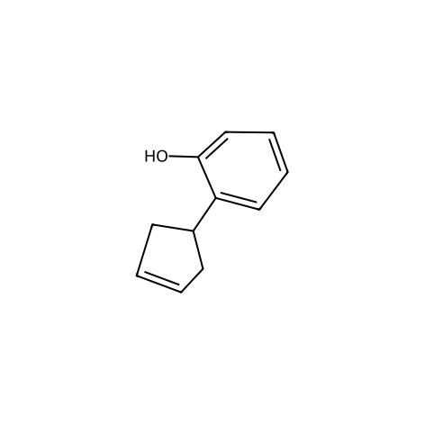 Oc1ccccc1C1CC=CC1